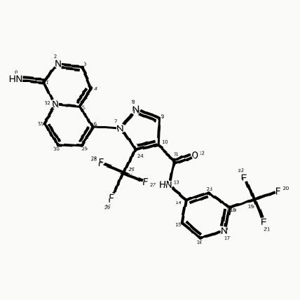 N=c1nccc2c(-n3ncc(C(=O)Nc4ccnc(C(F)(F)F)c4)c3C(F)(F)F)cccn12